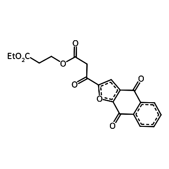 CCOC(=O)CCOC(=O)CC(=O)c1cc2c(o1)C(=O)c1ccccc1C2=O